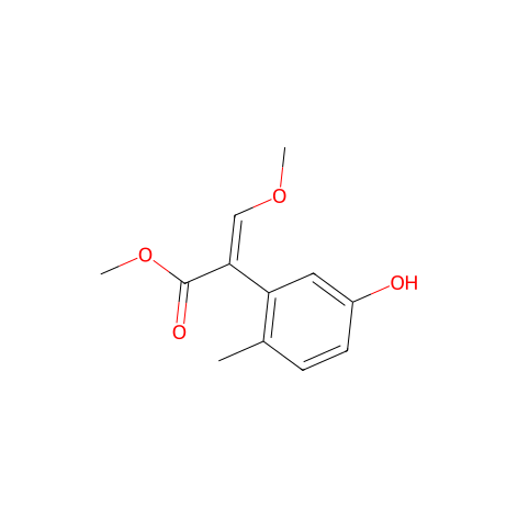 CO/C=C(/C(=O)OC)c1cc(O)ccc1C